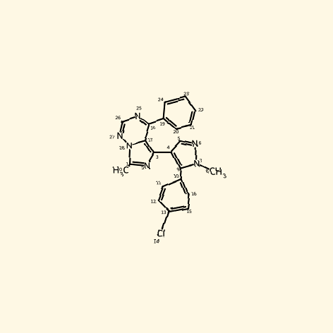 Cc1nc(-c2cnn(C)c2-c2ccc(Cl)cc2)c2c(-c3ccccc3)ncnn12